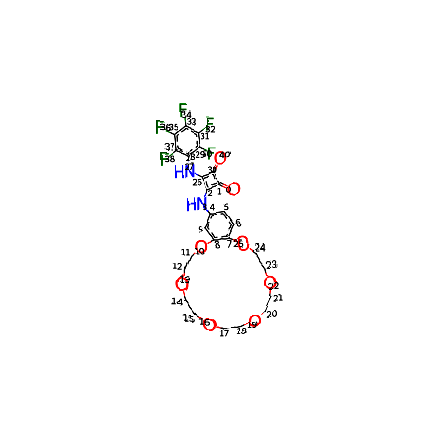 O=c1c(Nc2ccc3c(c2)OCCOCCOCCOCCOCCO3)c(Nc2c(F)c(F)c(F)c(F)c2F)c1=O